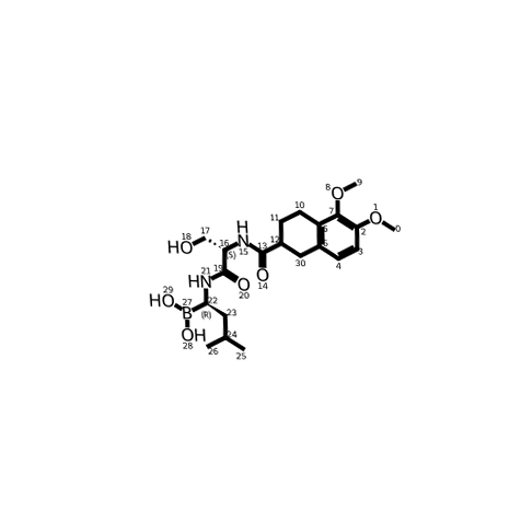 COc1ccc2c(c1OC)CCC(C(=O)N[C@@H](CO)C(=O)N[C@@H](CC(C)C)B(O)O)C2